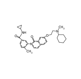 Cc1ccc(C(=O)NC2CC2)cc1-n1ccc2ccc(OCCN(C)C3CCCCC3)cc2c1=O